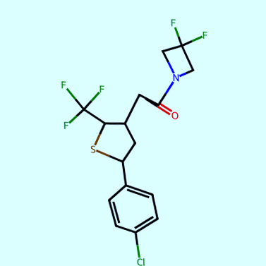 O=C(CC1CC(c2ccc(Cl)cc2)SC1C(F)(F)F)N1CC(F)(F)C1